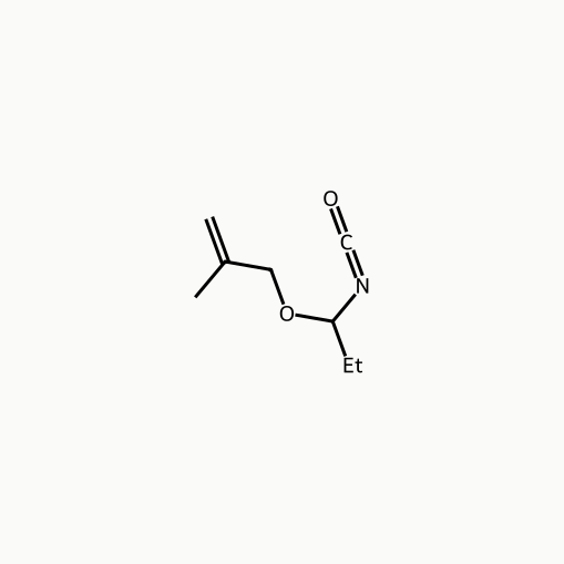 C=C(C)COC(CC)N=C=O